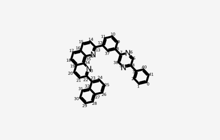 c1ccc(-c2cnc(-c3cccc(-c4ccc5ccc6ccc(-c7cccc8ccccc78)nc6c5n4)c3)cn2)cc1